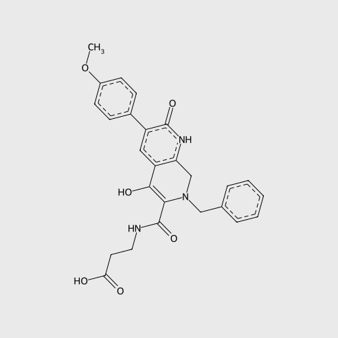 COc1ccc(-c2cc3c([nH]c2=O)CN(Cc2ccccc2)C(C(=O)NCCC(=O)O)=C3O)cc1